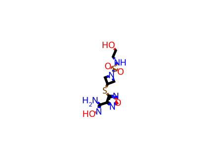 N/C(=N\O)c1nonc1SC1CN(S(=O)(=O)NCCO)C1